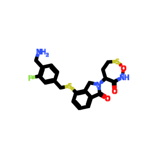 NCc1ccc(CSc2cccc3c2CN(C2CCSONC2=O)C3=O)cc1F